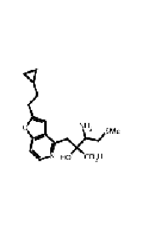 CSCC(N)C(O)(Cc1nccc2oc(CCC3CC3)cc12)C(=O)O